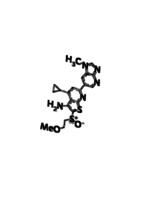 COCC[S@@+]([O-])c1sc2nc(-c3cnc4ncn(C)c4c3)cc(C3CC3)c2c1N